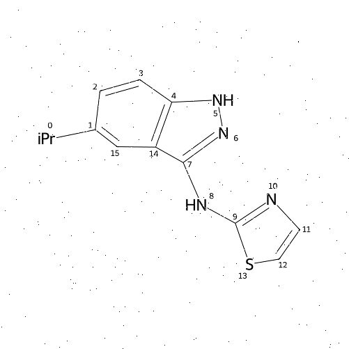 CC(C)c1ccc2[nH]nc(Nc3nccs3)c2c1